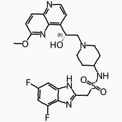 COc1ccc2nccc([C@@H](O)CN3CCC(NS(=O)(=O)Cc4nc5c(F)cc(F)cc5[nH]4)CC3)c2n1